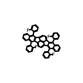 Fc1ccccc1-c1c2c(c(-c3ccccc3F)c3ccccc13)-c1ccc3c4c(ccc-2c14)-c1c-3c(-c2ccccc2F)c2ccccc2c1-c1ccccc1F